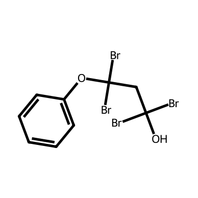 OC(Br)(Br)CC(Br)(Br)Oc1ccccc1